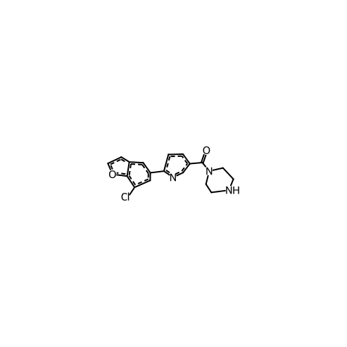 O=C(c1ccc(-c2cc(Cl)c3occc3c2)nc1)N1CCNCC1